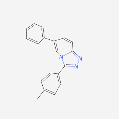 Cc1ccc(-c2nnc3ccc(-c4ccccc4)cn23)cc1